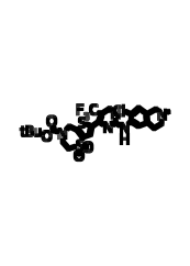 CN1CCc2cc(Nc3ncc(C(F)(F)F)c(-c4cc5c(s4)CN(C(=O)OC(C)(C)C)CCS5(=O)=O)n3)c(Cl)cc2C1